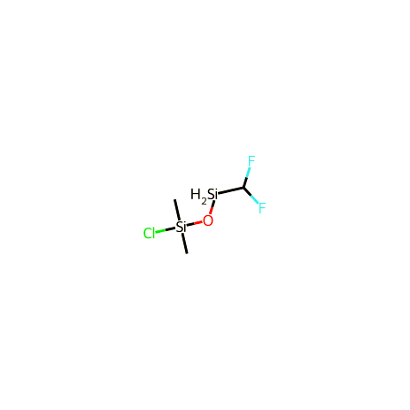 C[Si](C)(Cl)O[SiH2]C(F)F